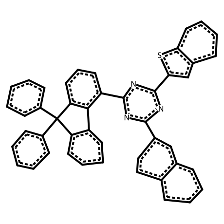 c1ccc(C2(c3ccccc3)c3ccccc3-c3c(-c4nc(-c5ccc6ccccc6c5)nc(-c5cc6ccccc6s5)n4)cccc32)cc1